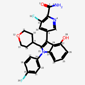 NC(=O)c1ncc(-c2c(C3CCOCC3)n(-c3ccc(F)cc3)c3cccc(O)c23)cc1F